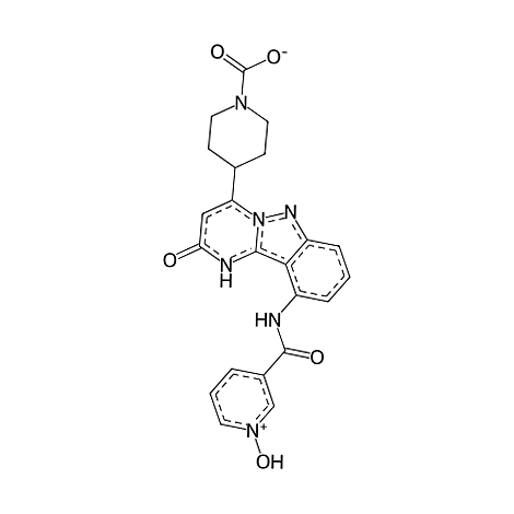 O=C(Nc1cccc2nn3c(C4CCN(C(=O)[O-])CC4)cc(=O)[nH]c3c12)c1ccc[n+](O)c1